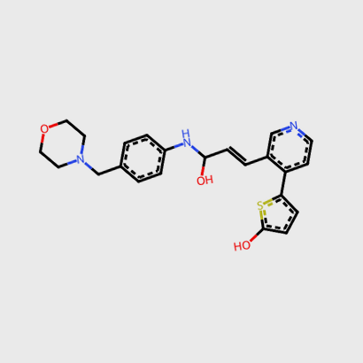 Oc1ccc(-c2ccncc2/C=C/C(O)Nc2ccc(CN3CCOCC3)cc2)s1